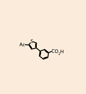 CC(=O)c1cc(-c2cccc(C(=O)O)c2)cs1